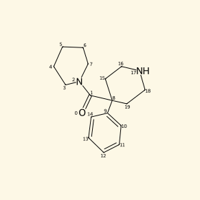 O=C(N1CCCCC1)C1(c2ccccc2)CCNCC1